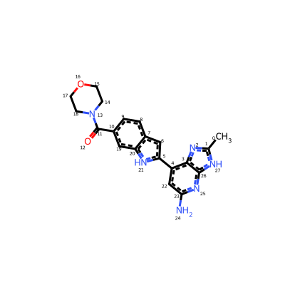 Cc1nc2c(-c3cc4ccc(C(=O)N5CCOCC5)cc4[nH]3)cc(N)nc2[nH]1